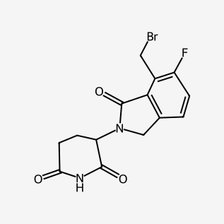 O=C1CCC(N2Cc3ccc(F)c(CBr)c3C2=O)C(=O)N1